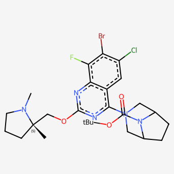 CN1CCC[C@@]1(C)COc1nc(N2CC3CCC(C2)N3C(=O)OC(C)(C)C)c2cc(Cl)c(Br)c(F)c2n1